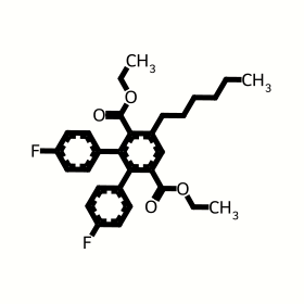 CCCCCCc1cc(C(=O)OCC)c(-c2ccc(F)cc2)c(-c2ccc(F)cc2)c1C(=O)OCC